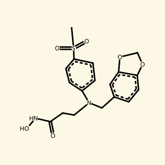 CS(=O)(=O)c1ccc(N(CCC(=O)NO)Cc2ccc3c(c2)OCO3)cc1